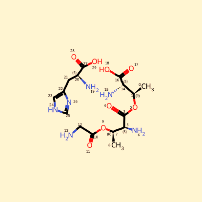 C[C@@H](OC(=O)[C@@H](N)[C@@H](C)OC(=O)CN)[C@H](N)C(=O)O.N[C@@H](Cc1c[nH]cn1)C(=O)O